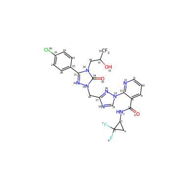 O=C(NC1CC1(F)F)c1cccnc1-n1cnc(Cn2nc(-c3ccc(Cl)cc3)n(CC(O)C(F)(F)F)c2=O)n1